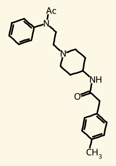 CC(=O)N(CCN1CCC(NC(=O)Cc2ccc(C)cc2)CC1)c1ccccc1